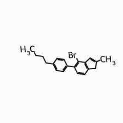 CCCCc1ccc(-c2ccc3c(c2Br)C=C(C)C3)cc1